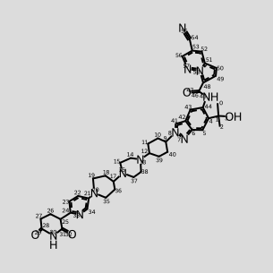 CC(C)(O)c1cc2nn(C3CCC(N4CCN(C5CCN(c6ccc(C7CCC(=O)NC7=O)nc6)CC5)CC4)CC3)cc2cc1NC(=O)c1ccc2cc(C#N)cnn12